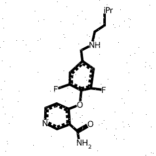 CC(C)CCNCc1cc(F)c(Oc2ccncc2C(N)=O)c(F)c1